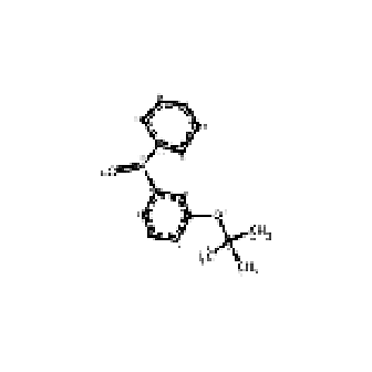 CC(C)(C)Oc1cccc([P](=O)c2ccccc2)c1